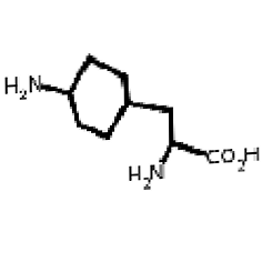 NC1CCC(CC(N)C(=O)O)CC1